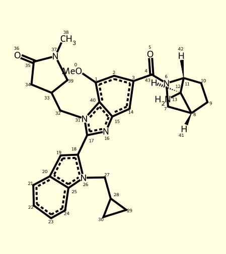 COc1cc(C(=O)N2C[C@H]3CC[C@@H]2[C@@H]3N)cc2nc(-c3cc4ccccc4n3CC3CC3)n(CC3CC(=O)N(C)C3)c12